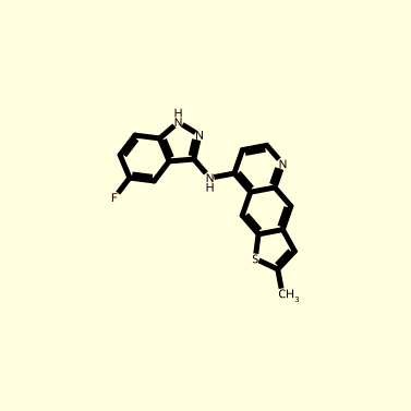 Cc1cc2cc3nccc(Nc4n[nH]c5ccc(F)cc45)c3cc2s1